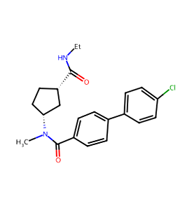 CCNC(=O)[C@H]1CC[C@@H](N(C)C(=O)c2ccc(-c3ccc(Cl)cc3)cc2)C1